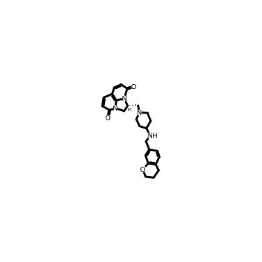 O=c1ccc2ccc(=O)n3c2n1C[C@H]3CN1CCC(NCc2ccc3c(c2)OCCC3)CC1